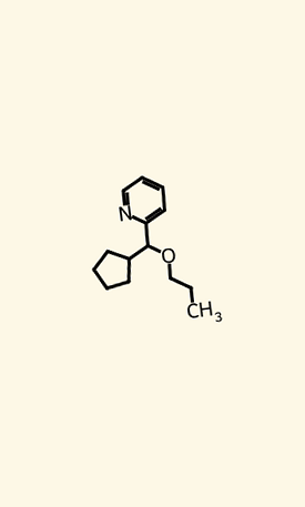 CCCOC(c1ccccn1)C1CCCC1